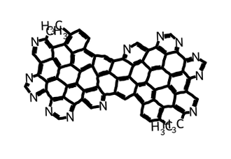 Cc1ncc2c3ncnc4c5ncnc6c7cnc8c9cc%10c%11ccc(C)c%12c%13c(C)ncc%14c%15ncnc%16c%17ncnc%18c%19cnc%20c%21cc%22c%23ccc(C)c%24c1c2c1c(c34)c(c65)c2c7c8c(c%21c9c3c%10c4c(c%11%12)c(c%14%13)c(c%15%16)c(c%18%17)c4c%19c%203)c%22c2c1c%23%24